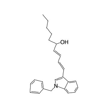 CCCCCC(O)/C=C/C=C/c1cn(Cc2ccccc2)c2ccccc12